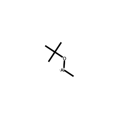 [CH3][Al][O]C(C)(C)C